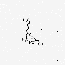 CCCCCC(CC)OOCC(O)CO